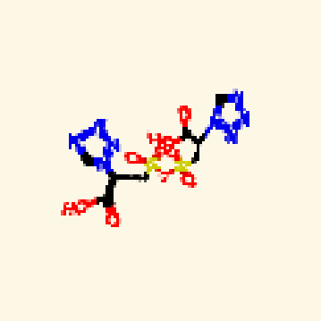 O=C(O)C(CS(=O)(=O)OS(=O)(=O)CC(C(=O)O)n1cnnn1)n1cnnn1